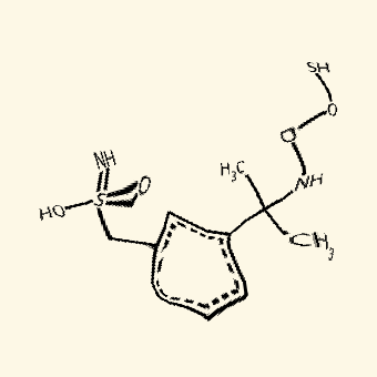 CC(C)(NOOS)c1cccc(CS(=N)(=O)O)c1